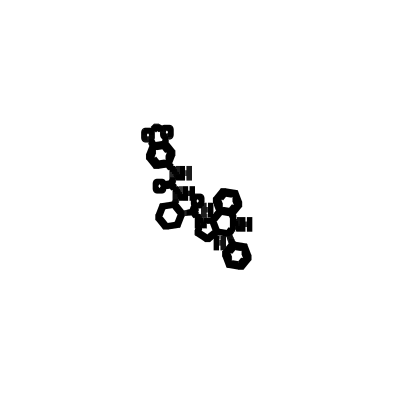 O=C(Nc1ccc2c(c1)OCO2)N[C@@H]1CCCC[C@@H]1C(=O)N1CC[C@@H]2[C@H](c3ccccc3)Nc3ccccc3[C@@H]21